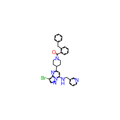 O=C(c1ccccc1Cc1ccccc1)N1CCC(c2cc(NCc3cccnc3)n3ncc(Br)c3n2)CC1